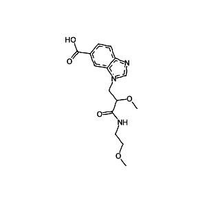 COCCNC(=O)C(Cn1cnc2ccc(C(=O)O)cc21)OC